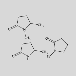 CC1CCC(=O)N1.CC1CCC(=O)N1C.CCN1CCCC1=O